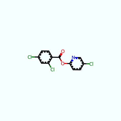 O=C(Oc1c[c]c(Cl)cn1)c1ccc(Cl)cc1Cl